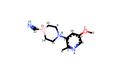 COc1cnc(C)c(N2CCB(C#N)CC2)c1